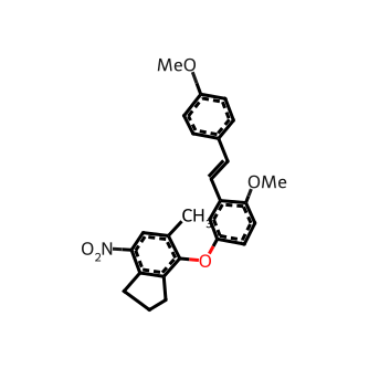 COc1ccc(C=Cc2cc(Oc3c(C)cc([N+](=O)[O-])c4c3CCC4)ccc2OC)cc1